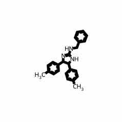 Cc1ccc(C2N=C(NCc3ccccc3)NC2c2ccc(C)cc2)cc1